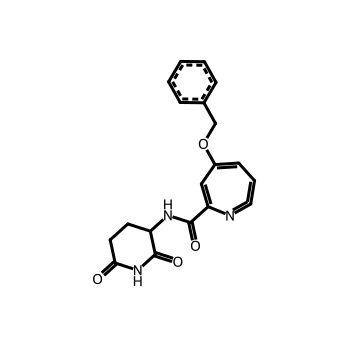 O=C1CCC(NC(=O)C2=CC(OCc3ccccc3)=CC=C=N2)C(=O)N1